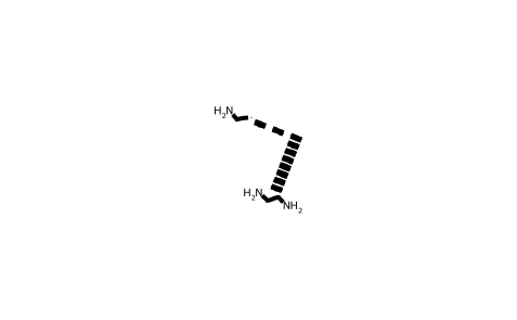 C=C.C=C.C=C.C=C.C=C.C=C.C=C.C=C.C=C.C=C.NCCN.[CH2]CN